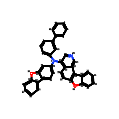 c1ccc(-c2cccc(N(c3ccc4c(c3)oc3ccccc34)c3cncc4c3ccc3oc5ccccc5c34)c2)cc1